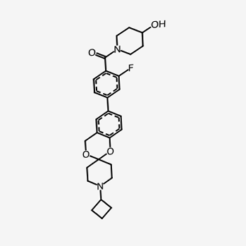 O=C(c1ccc(-c2ccc3c(c2)COC2(CCN(C4CCC4)CC2)O3)cc1F)N1CCC(O)CC1